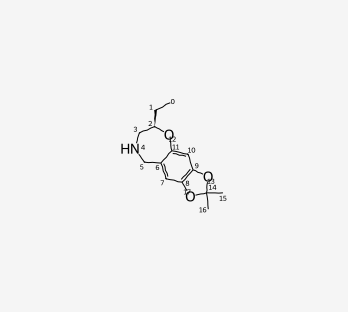 CC[C@@H]1CNCc2cc3c(cc2O1)OC(C)(C)O3